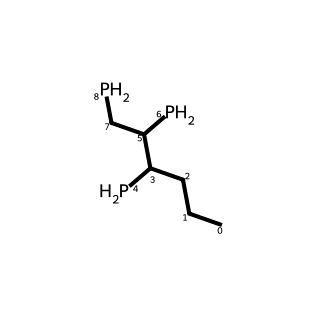 CCCC(P)C(P)CP